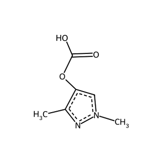 Cc1nn(C)cc1OC(=O)O